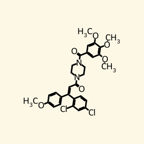 COc1ccc(/C(=C/C(=O)N2CCN(C(=O)c3cc(OC)c(OC)c(OC)c3)CC2)c2ccc(Cl)cc2Cl)cc1